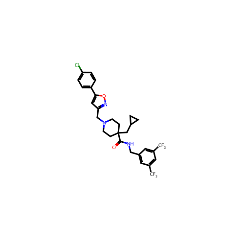 O=C(NCc1cc(C(F)(F)F)cc(C(F)(F)F)c1)C1(CC2CC2)CCN(Cc2cc(-c3ccc(Cl)cc3)on2)CC1